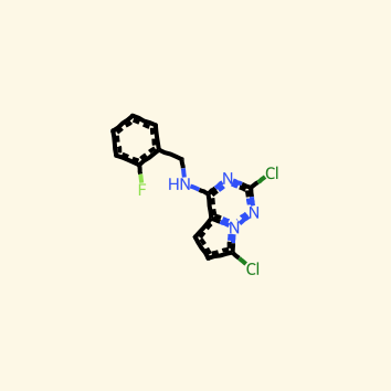 Fc1ccccc1CNc1nc(Cl)nn2c(Cl)ccc12